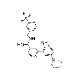 Nc1ccc(N2CCCCC2)cc1-c1cc(C(O)NCc2cccc(C(F)(F)F)c2)ccn1